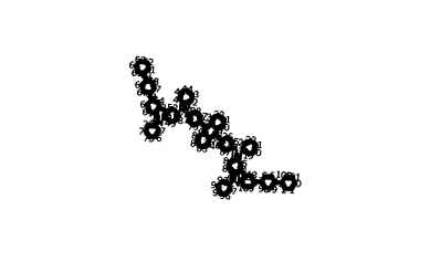 c1ccc(-c2ccc(-c3ccc4c(c3)c3cc(N(c5ccccc5)c5ccc(-c6c7ccccc7c(-c7ccc(N(c8ccccc8)c8ccc9c(c8)c8cc(-c%10ccc(-c%11ccccc%11)cc%10)ccc8n9-c8ccccc8)cc7)c7ccccc67)cc5)ccc3n4-c3ccccc3)cc2)cc1